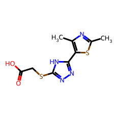 Cc1nc(C)c(-c2nnc(SCC(=O)O)[nH]2)s1